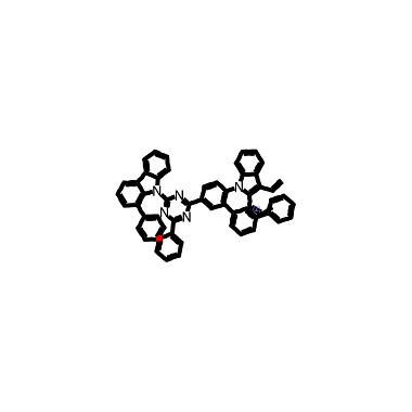 C=Cc1c(/C=C\C)n(-c2ccc(-c3nc(-c4ccccc4)nc(-n4c5ccccc5c5cccc(-c6ccccc6)c54)n3)cc2-c2cccc(-c3ccccc3)c2)c2ccccc12